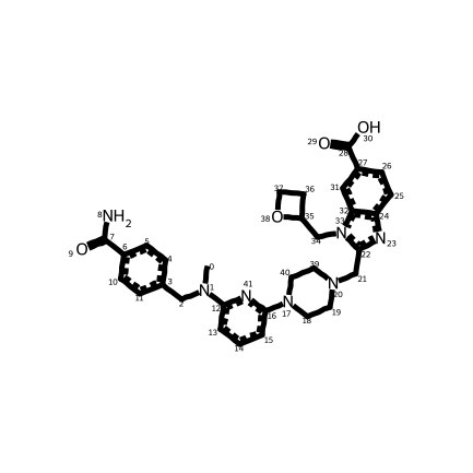 CN(Cc1ccc(C(N)=O)cc1)c1cccc(N2CCN(Cc3nc4ccc(C(=O)O)cc4n3CC3CCO3)CC2)n1